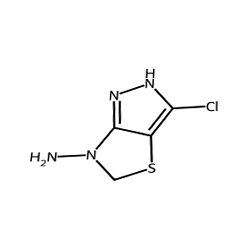 NN1CSc2c1n[nH]c2Cl